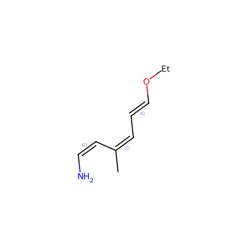 CCO/C=C/C=C(C)\C=C/N